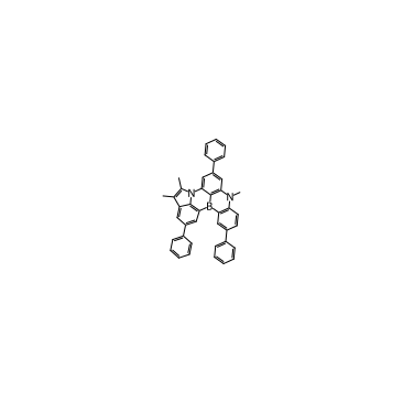 Cc1c(C)n2c3c(cc(-c4ccccc4)cc13)B1c3cc(-c4ccccc4)ccc3N(C)c3cc(-c4ccccc4)cc-2c31